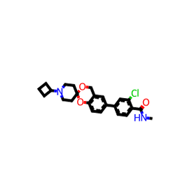 CNC(=O)c1ccc(-c2ccc3c(c2)COC2(CCN(C4CCC4)CC2)O3)cc1Cl